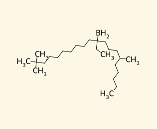 BC(CC)(CCCCCCCCC(C)(C)C)CCCC(C)CCCCC